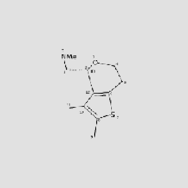 CNC[C@@H]1OCCc2sc(C)c(C)c21